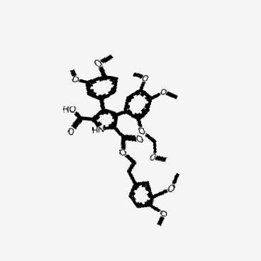 COCOc1cc(OC)c(OC)cc1-c1c(C(=O)OCCc2ccc(OC)c(OC)c2)[nH]c(C(=O)O)c1-c1ccc(OC)c(OC)c1